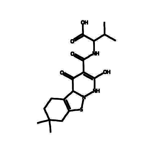 CC(C)C(NC(=O)C1=C(O)NN2SC3=C(CCC(C)(C)C3)C2C1=O)C(=O)O